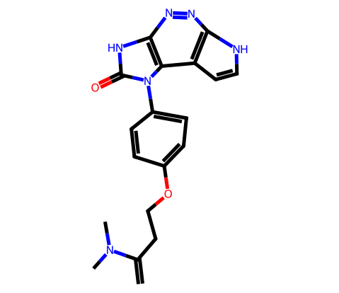 C=C(CCOc1ccc(-n2c(=O)[nH]c3nnc4[nH]ccc4c32)cc1)N(C)C